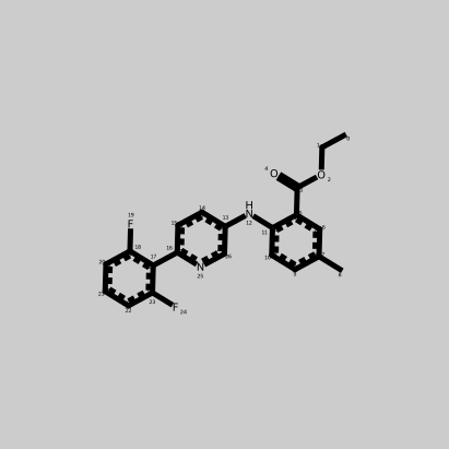 CCOC(=O)c1cc(C)ccc1Nc1ccc(-c2c(F)cccc2F)nc1